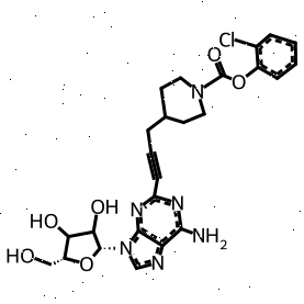 Nc1nc(C#CCC2CCN(C(=O)Oc3ccccc3Cl)CC2)nc2c1ncn2[C@@H]1O[C@H](CO)C(O)C1O